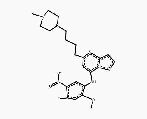 COc1cc(F)c([N+](=O)[O-])cc1Nc1nc(SCCCN2CCN(C)CC2)nc2ccnn12